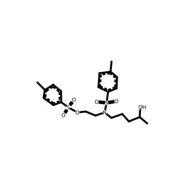 Cc1ccc(S(=O)(=O)OCCN(CCCC(C)O)S(=O)(=O)c2ccc(C)cc2)cc1